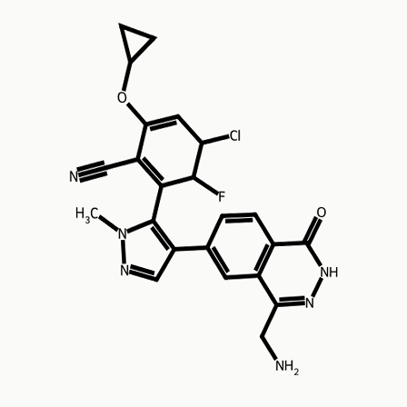 Cn1ncc(-c2ccc3c(=O)[nH]nc(CN)c3c2)c1C1=C(C#N)C(OC2CC2)=CC(Cl)C1F